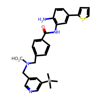 C[Si](C)(C)c1cncc(CN(Cc2ccc(C(=O)Nc3cc(-c4cccs4)ccc3N)cc2)C(=O)O)c1